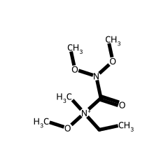 CC[N+](C)(OC)C(=O)N(OC)OC